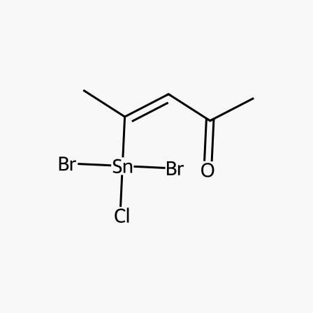 CC(=O)C=[C](C)[Sn]([Cl])([Br])[Br]